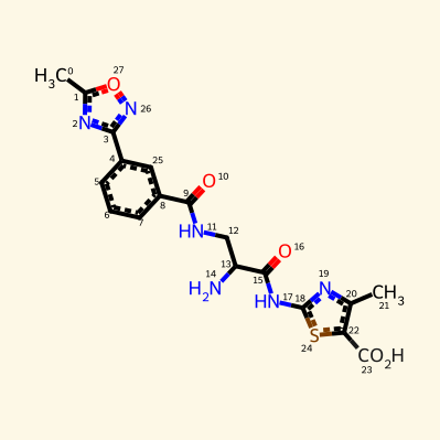 Cc1nc(-c2cccc(C(=O)NCC(N)C(=O)Nc3nc(C)c(C(=O)O)s3)c2)no1